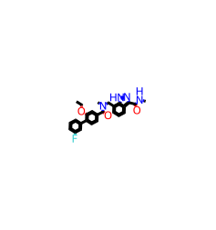 CCOc1cc(C(=O)N(C)Cc2cccc3c(C(=O)NC)n[nH]c23)ccc1-c1cccc(F)c1